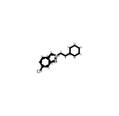 Clc1ccc2cn(CCC3CCCCC3)nc2c1